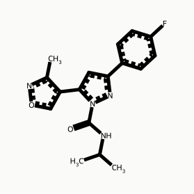 Cc1nocc1-c1cc(-c2ccc(F)cc2)nn1C(=O)NC(C)C